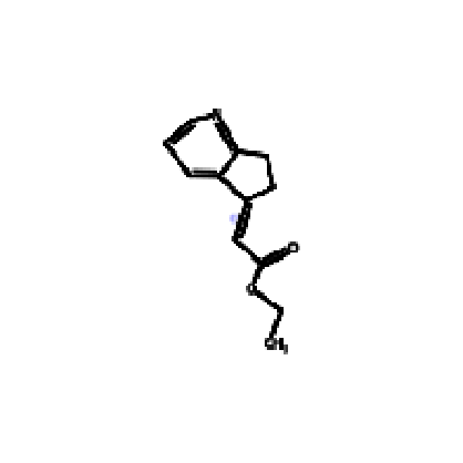 CCOC(=O)/C=C1\CCc2ncccc21